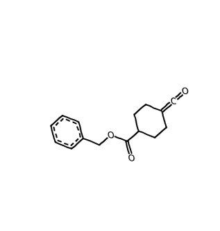 O=C=C1CCC(C(=O)OCc2ccccc2)CC1